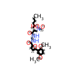 CCCCCC[C@H](CN(O)C=O)C(=O)NCNC(=O)c1ccc(-c2cc(OC)ccc2OC)o1